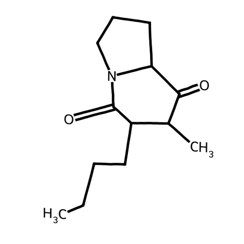 CCCCC1C(=O)N2CCCC2C(=O)C1C